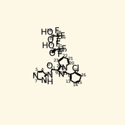 O=C(Nc1ccncn1)c1nc(-c2ccccc2Cl)n2ccccc12.O=C(O)C(F)(F)F.O=C(O)C(F)(F)F